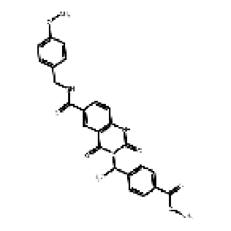 COC(=O)c1ccc(C(C)n2c(=O)[nH]c3ccc(C(=O)NCc4ccc(OC)cc4)cc3c2=O)cc1